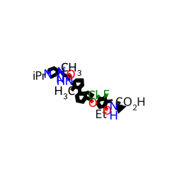 CCOc1cc(OC2CCc3c(-c4cccc(NC(=O)c5nc6c(n5C)CCN(C(C)C)C6)c4C)cccc32)c(Cl)c(F)c1CNC1(C(=O)O)CC1